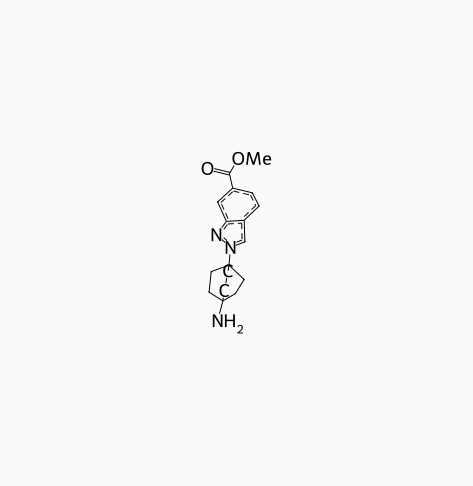 COC(=O)c1ccc2cn(C34CCC(N)(CC3)CC4)nc2c1